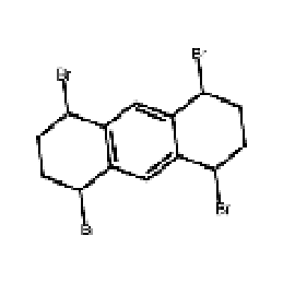 BrC1CCC(Br)c2cc3c(cc21)C(Br)CCC3Br